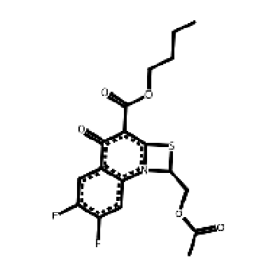 CCCCOC(=O)c1c2n(c3cc(F)c(F)cc3c1=O)C(COC(C)=O)S2